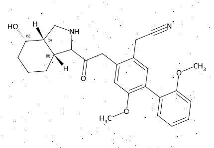 COc1ccccc1-c1cc(CC#N)c(CC(=O)C2NC[C@H]3[C@@H](O)CCC[C@@H]23)cc1OC